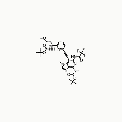 COCC[C@H](NC(=O)OC(C)(C)C)c1cccc(C#Cc2c(NC(=O)C(F)(F)F)nc(N(C)C(=O)OC(C)(C)C)c3ncn(C)c23)n1